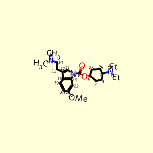 CCN(CC)C1CCC(OC(=O)n2cc(CCN(C)C)c3ccc(OC)cc32)CC1